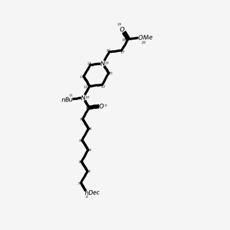 CCCCCCCCCCCCCCCCCC(=O)N(CCCC)C1CCN(CCC(=O)OC)CC1